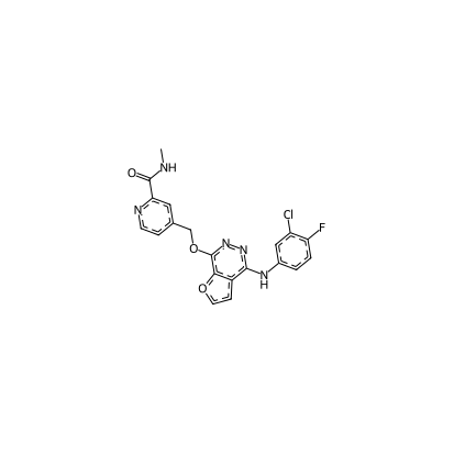 CNC(=O)c1cc(COc2nnc(Nc3ccc(F)c(Cl)c3)c3ccoc23)ccn1